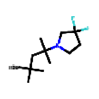 CCCCC(C)(C)CC(C)(C)N1CCC(F)(F)C1